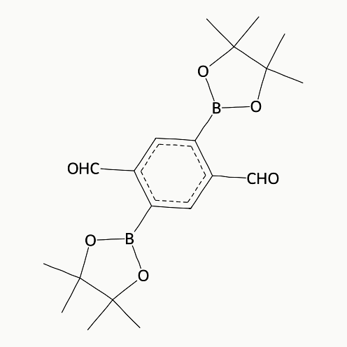 CC1(C)OB(c2cc(C=O)c(B3OC(C)(C)C(C)(C)O3)cc2C=O)OC1(C)C